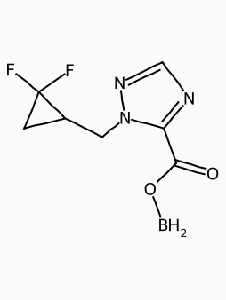 BOC(=O)c1ncnn1CC1CC1(F)F